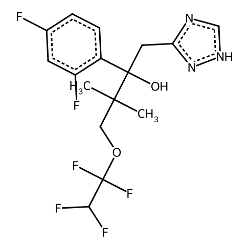 CC(C)(COC(F)(F)C(F)F)C(O)(Cc1nc[nH]n1)c1ccc(F)cc1F